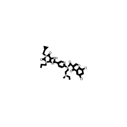 CCCn1c(=O)n(CC2CC2)c(=O)c2[nH]c(-c3ccc(N(CCN(C)CC)C(=O)c4coc5c(Cl)cc(Cl)cc5c4=O)nc3)nc21